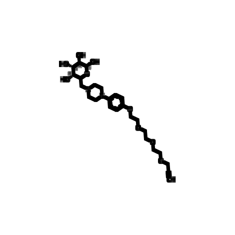 C#CCOCCOCCOCCOc1ccc(N2CCN(CC3O[C@H](O)[C@H](O)[C@@H](O)[C@H]3O)CC2)cc1